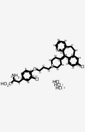 Cl.Cl.Cl.NC(Cc1ccc(OCCCN2CCC(=C3c4ccc(Cl)cc4CCc4cccnc43)CC2)c(Cl)c1)C(=O)O